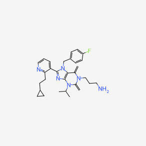 C=C1c2c(nc(-c3cccnc3CCC3CC3)n2Cc2ccc(F)cc2)N(C(C)C)C(=C)N1CCCN